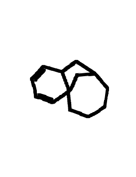 C1=CC2CC3CCCCC2(C=C1)C3